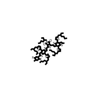 CCCCC(CC)Cc1ccc(-c2c3cc(-c4sc(-c5cc6c(-c7ccc(CC(CC)CCCC)s7)c7sc(-c8cc(F)c(C)cc8F)cc7c(-c7ccc(CC(CC)CCCC)s7)c6s5)c5c4C(=O)N(CC(CC)CCCC)C5=O)sc3c(-c3ccc(CC(CC)CCCC)s3)c3cc(C)sc23)s1